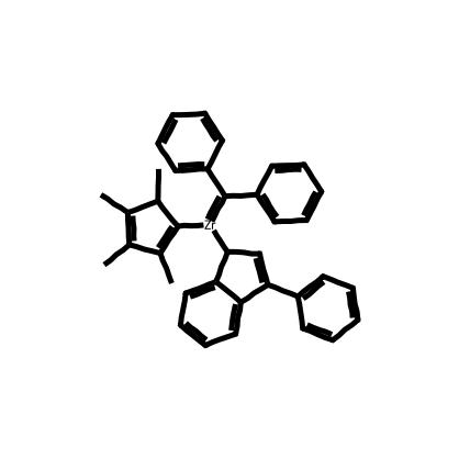 CC1=C(C)C(C)[C]([Zr](=[C](c2ccccc2)c2ccccc2)[CH]2C=C(c3ccccc3)c3ccccc32)=C1C